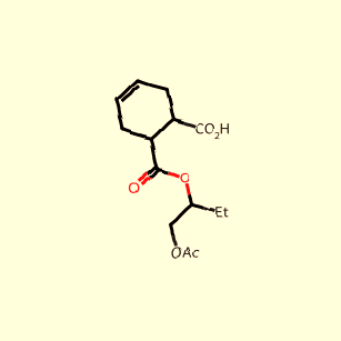 CCC(COC(C)=O)OC(=O)C1CC=CCC1C(=O)O